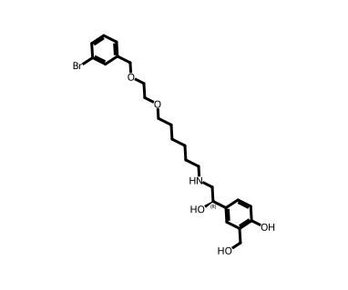 OCc1cc([C@@H](O)CNCCCCCCOCCOCc2cccc(Br)c2)ccc1O